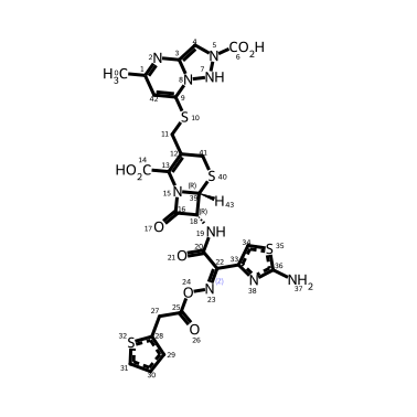 CC1=NC2=CN(C(=O)O)NN2C(SCC2=C(C(=O)O)N3C(=O)[C@@H](NC(=O)/C(=N\OC(=O)Cc4cccs4)c4csc(N)n4)[C@H]3SC2)=C1